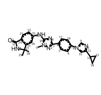 Cn1nc(-c2ccc(-n3cnc(C4CC4)c3)cc2)nc1Nc1ccc2c(c1)C(C)(C)NC2=O